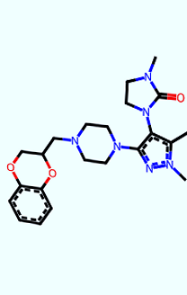 Cc1c(N2CCN(C)C2=O)c(N2CCN(CC3COc4ccccc4O3)CC2)nn1C